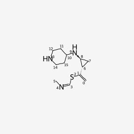 C=C(S/C=N\C)[C@H]1C[C@@H]1NC1CCNCC1